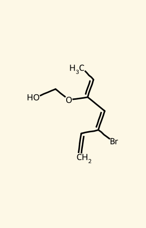 C=C/C(Br)=C\C(=CC)OCO